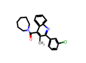 Cc1c(-c2cccc(Cl)c2)nc2ccccc2c1C(=O)N1CCCCCC1